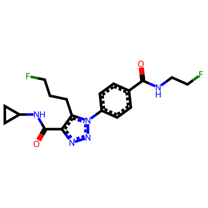 O=C(NCCF)c1ccc(-n2nnc(C(=O)NC3CC3)c2CCCF)cc1